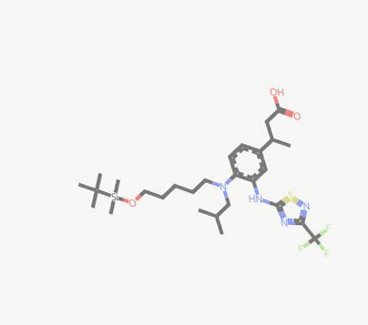 CC(C)CN(CCCCCO[Si](C)(C)C(C)(C)C)c1ccc(C(C)CC(=O)O)cc1Nc1nc(C(F)(F)F)ns1